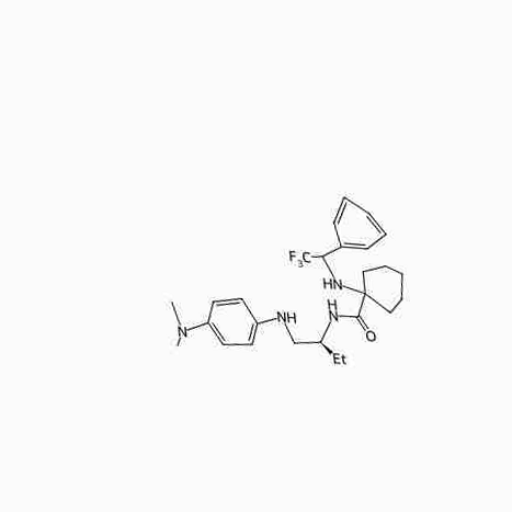 CC[C@@H](CNc1ccc(N(C)C)cc1)NC(=O)C1(NC(c2ccccc2)C(F)(F)F)CCCCC1